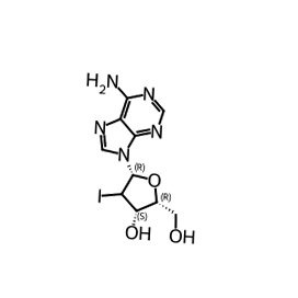 Nc1ncnc2c1ncn2[C@@H]1O[C@H](CO)[C@H](O)C1I